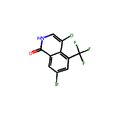 O=c1[nH]cc(Cl)c2c(C(F)(F)F)cc(Br)cc12